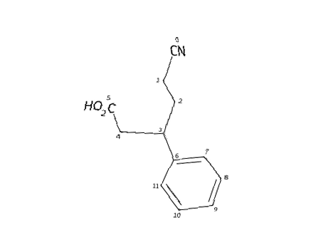 N#CCCC(CC(=O)O)c1ccccc1